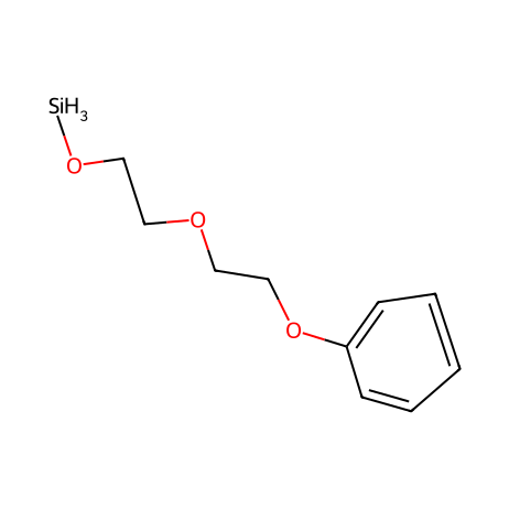 [SiH3]OCCOCCOc1ccccc1